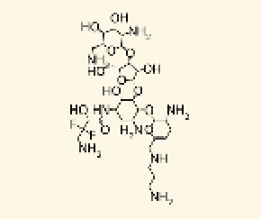 NCCCNCC1=CC[C@@H](N)[C@@H](O[C@H]2[C@H](O[C@@H]3O[C@H](CO)[C@@H](O[C@H]4O[C@@H](CN)[C@@H](O)[C@H](O)[C@H]4N)[C@H]3O)[C@@H](O)[C@H](NC(=O)[C@@H](O)C(F)(F)CN)C[C@@H]2N)O1